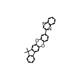 CC1(C)c2ccccc2-c2cc3c(cc21)Oc1cc(-c2cnc4ccccc4n2)ccc1O3